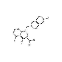 O=C(O)c1cn(Cc2ccc3cc(F)ccc3c2)c2cccc(F)c2c1=O